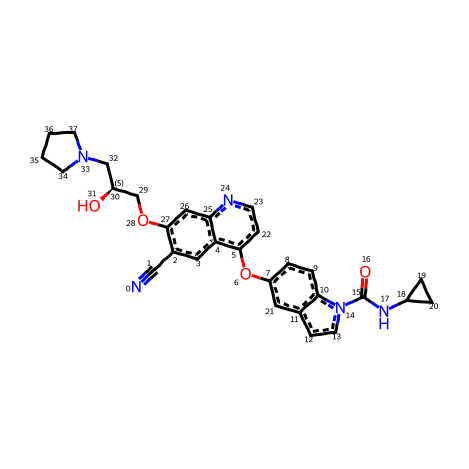 N#Cc1cc2c(Oc3ccc4c(ccn4C(=O)NC4CC4)c3)ccnc2cc1OC[C@@H](O)CN1CCCC1